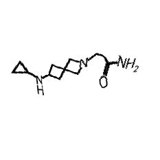 NC(=O)CN1CC2(CC(NC3CC3)C2)C1